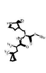 CC1(CC(N)C(=O)NN(CC2CCNC2=O)C(=O)OC(C)(C)C)CC1